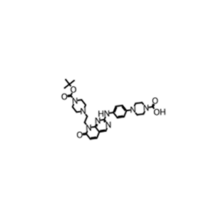 CC(C)(C)OC(=O)N1CCN(CCn2c(=O)ccc3cnc(Nc4ccc(N5CCN(C(=O)O)CC5)cc4)nc32)CC1